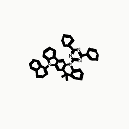 CC1(C)c2ccccc2N(c2nc(-c3ccccc3)nc(-c3ccccc3)n2)c2cc3c4ccccc4n(-c4cccc5ccccc45)c3cc21